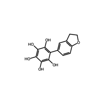 Oc1c(O)c(O)c(-c2ccc3c(c2)CCO3)c(O)c1O